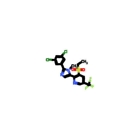 CCS(=O)(=O)c1cc(C(F)(F)F)cnc1-c1cnc(-c2cc(Cl)cc(Cl)c2)n1C